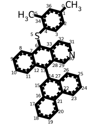 Cc1ccc(Sc2c3ccccc3c(-c3cc4ccccc4c4ccccc34)c3cnccc23)c(C)c1